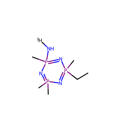 [3H]NP1(C)=NP(C)(CC)=NP(C)(C)=N1